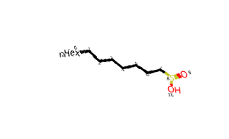 CCCCCCCCCCCCCS(=O)O